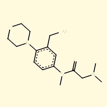 COCc1cc(N(C)C(=O)CN(C)C)ccc1N1CCOCC1